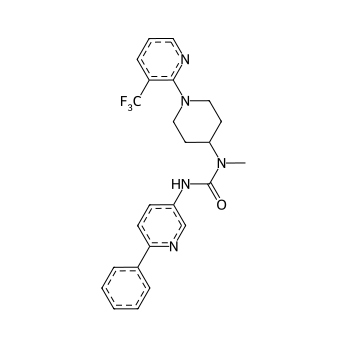 CN(C(=O)Nc1ccc(-c2ccccc2)nc1)C1CCN(c2ncccc2C(F)(F)F)CC1